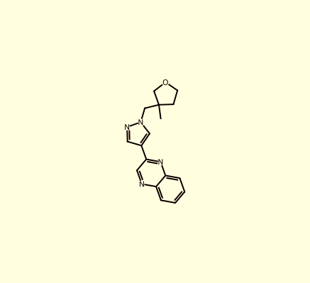 CC1(Cn2cc(-c3cnc4ccccc4n3)cn2)CCOC1